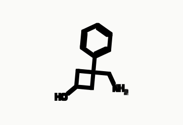 NCC1(c2ccccc2)CC(O)C1